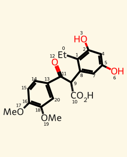 CCc1c(O)cc(O)cc1C(C(=O)O)C(=O)c1ccc(OC)c(OC)c1